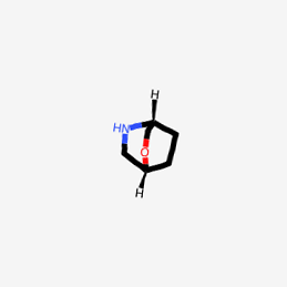 C1C[C@@H]2CN[C@H]1CO2